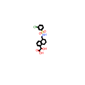 O=C(O)C(O)c1cccc2c1CCCC2CNS(=O)(=O)c1cccc(Cl)c1